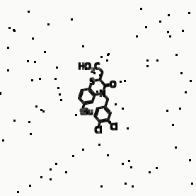 CC(C)(C)c1ccc2c(c1)N(Cc1ccc(Cl)c(Cl)c1)C(=O)C(CC(=O)O)S2